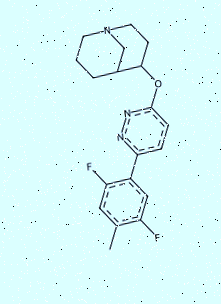 Cc1cc(F)c(-c2ccc(OC3CCN4CCCC3C4)nn2)cc1F